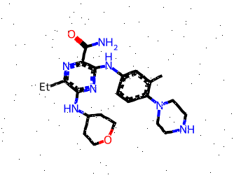 CCc1nc(C(N)=O)c(Nc2ccc(N3CCNCC3)c(C)c2)nc1NC1CCOCC1